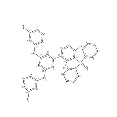 O=P(c1ccccc1)(c1ccccc1)c1c(F)ccc(-c2nc(Oc3cccc(F)c3)nc(Oc3cccc(F)c3)n2)c1F